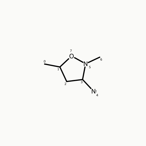 CC1CC([N])N(C)O1